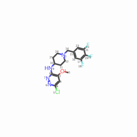 COc1cc(Cl)nnc1NC1CCN(Cc2cc(F)c(F)c(F)c2)CC1